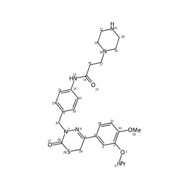 CCCOc1cc(C2=NN(Cc3ccc(NC(=O)CCN4CCNCC4)cc3)C(=O)SC2)ccc1OC